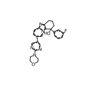 OC1(c2cccc(F)c2)CCCc2nc3ccc(-c4cnc(N5CCOCC5)nc4)cn3c21